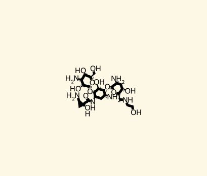 NC1CC1(O)C(=O)N[C@@H]1C[C@H](N)[C@@H](O[C@H]2O[C@H](CNCCO)[C@@H](O)C[C@H]2N)[C@H](O)[C@H]1O[C@H]1O[C@H](CO)[C@@H](O)[C@H](N)[C@H]1O